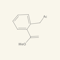 C=C(OC)c1ccccc1CC(C)=O